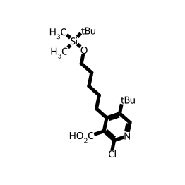 CC(C)(C)c1cnc(Cl)c(C(=O)O)c1CCCCCO[Si](C)(C)C(C)(C)C